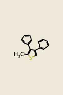 Cc1scc(-c2ccccc2)c1-c1ccccc1